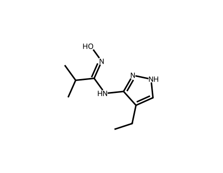 CCc1c[nH]nc1NC(=NO)C(C)C